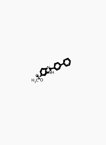 CS(=O)(=O)c1ccc2nc(-c3ccc(-c4ccccc4)cc3)[nH]c2c1